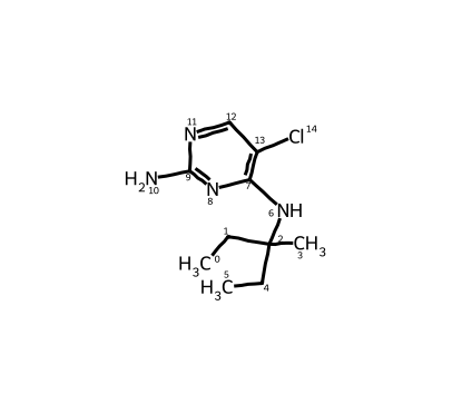 CCC(C)(CC)Nc1nc(N)ncc1Cl